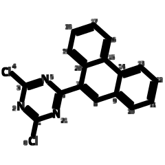 Clc1nc(Cl)nc(-c2cc3ccccc3c3ccccc23)n1